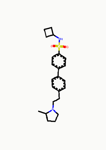 CC1CCCN1CCc1ccc(-c2ccc(S(=O)(=O)NC3CCC3)cc2)cc1